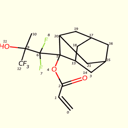 C=CC(=O)OC1(C(F)(F)C(C)(O)C(F)(F)F)C2CC3CC(C2)CC1C3